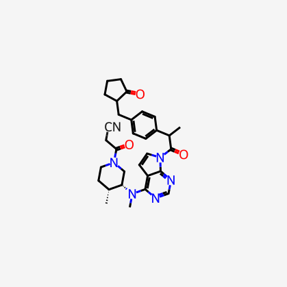 CC(C(=O)n1ccc2c(N(C)[C@H]3CN(C(=O)CC#N)CC[C@H]3C)ncnc21)c1ccc(CC2CCCC2=O)cc1